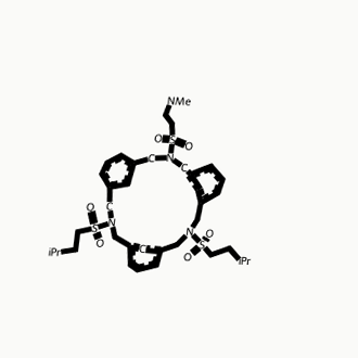 CNCCS(=O)(=O)N1Cc2cccc(c2)CN(S(=O)(=O)CCC(C)C)Cc2cccc(c2)CN(S(=O)(=O)CCC(C)C)Cc2cccc(c2)C1